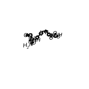 NC(=O)c1ncc(N2CCCC3(COC3)C2)nc1Nc1ccc(C2CCN(C[C@H]3CCN(c4ccc5c(c4)CN(C4CCC(=O)NC4=O)C5=O)C3)CC2)cc1